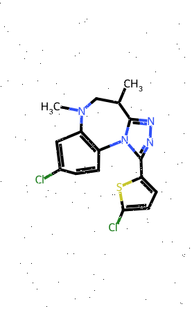 CC1CN(C)c2cc(Cl)ccc2-n2c(-c3ccc(Cl)s3)nnc21